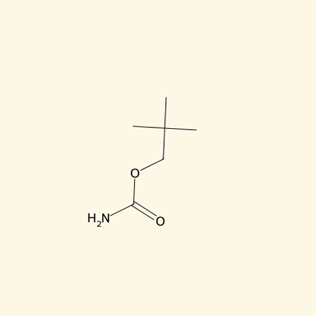 CC(C)(C)COC(N)=O